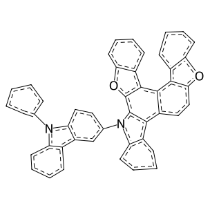 c1ccc(-n2c3ccccc3c3cc(-n4c5ccccc5c5c6ccc7oc8ccccc8c7c6c6c7ccccc7oc6c54)ccc32)cc1